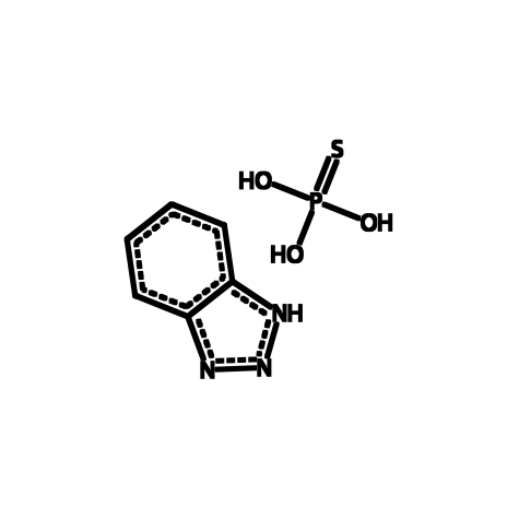 OP(O)(O)=S.c1ccc2[nH]nnc2c1